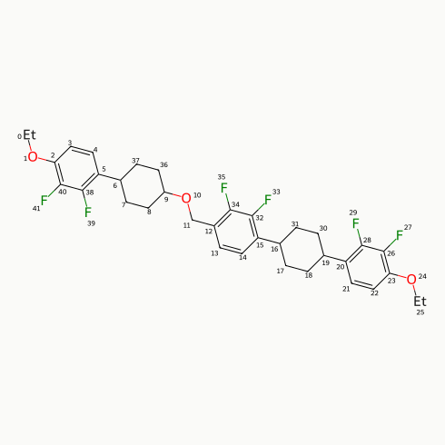 CCOc1ccc(C2CCC(OCc3ccc(C4CCC(c5ccc(OCC)c(F)c5F)CC4)c(F)c3F)CC2)c(F)c1F